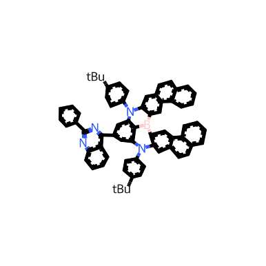 CC(C)(C)c1ccc(N2c3cc4ccc5ccccc5c4cc3B3c4cc5c(ccc6ccccc65)cc4N(c4ccc(C(C)(C)C)cc4)c4cc(-c5nc(-c6ccccc6)nc6ccccc56)cc2c43)cc1